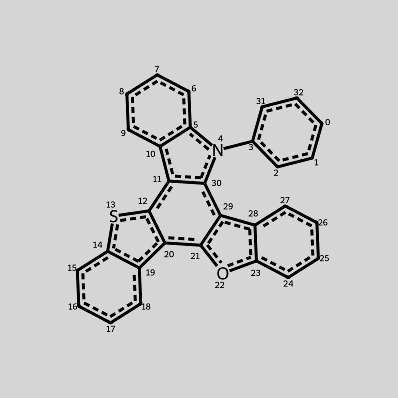 c1ccc(-n2c3ccccc3c3c4sc5ccccc5c4c4oc5ccccc5c4c32)cc1